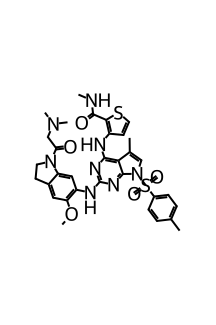 CNC(=O)c1sccc1Nc1nc(Nc2cc3c(cc2OC)CCN3C(=O)CN(C)C)nc2c1c(C)cn2S(=O)(=O)c1ccc(C)cc1